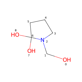 OCN1CCCC1(O)O